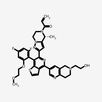 C=CC(=O)N1CCn2nc(-c3nc(-c4cnc5c(c4)CN(CCO)CC5)c4ccsc4c3-c3c(F)cc(F)cc3OCCOC)cc2[C@H]1C